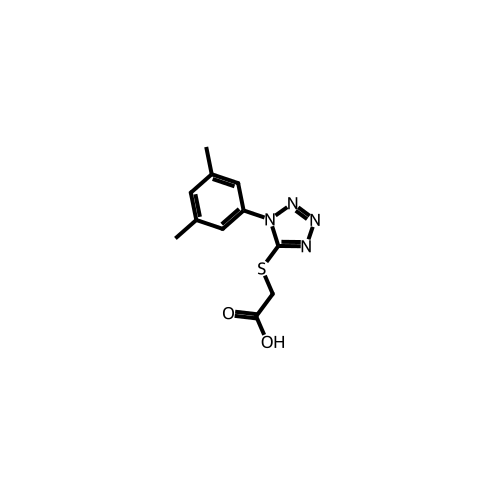 Cc1cc(C)cc(-n2nnnc2SCC(=O)O)c1